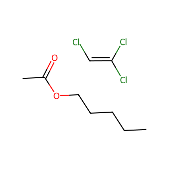 CCCCCOC(C)=O.ClC=C(Cl)Cl